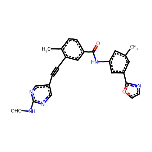 Cc1ccc(C(=O)Nc2cc(-c3ncco3)cc(C(F)(F)F)c2)cc1C#Cc1cnc(NC=O)nc1